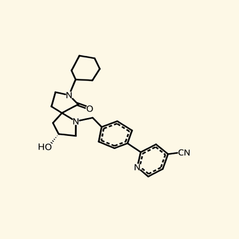 N#Cc1ccnc(-c2ccc(CN3C[C@H](O)CC34CCN(C3CCCCC3)C4=O)cc2)c1